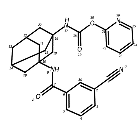 N#Cc1cccc(C(=O)NC23CC4CC(CC(NC(=O)Oc5ccccn5)(C4)C2)C3)c1